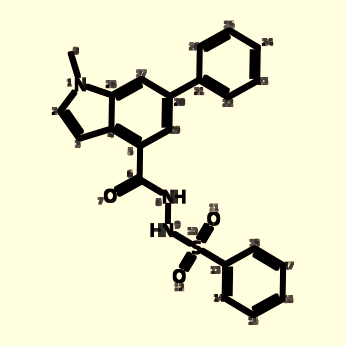 Cn1ccc2c(C(=O)NNS(=O)(=O)c3ccccc3)cc(-c3ccccc3)cc21